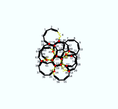 c1cccsc(-c2ccccccsc2-c2ccccccsc2-c2ccccccsc2-c2ccccccsc2-c2ccccccsc2-c2ccccccsc2-c2ccccccsc2-c2cccccccs2)ccc1